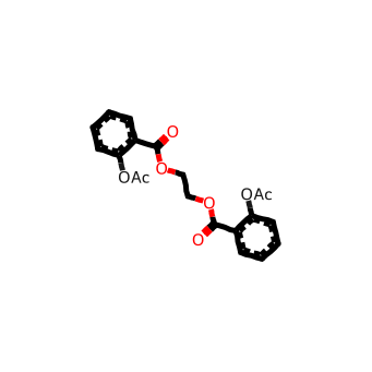 CC(=O)Oc1ccccc1C(=O)OCCOC(=O)c1ccccc1OC(C)=O